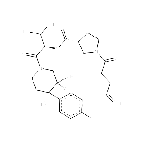 C=CCCC(=O)N1CC[C@@H](C(=O)N[C@@H](C(=O)N2CC[C@](O)(c3ccc(Cl)cc3)C(C)(C)C2)C(C)C)C1